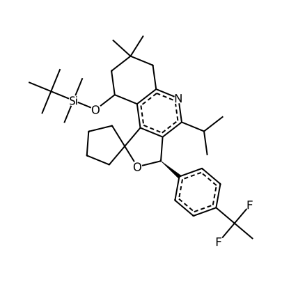 CC(C)c1nc2c(c3c1[C@@H](c1ccc(C(C)(F)F)cc1)OC31CCCC1)C(O[Si](C)(C)C(C)(C)C)CC(C)(C)C2